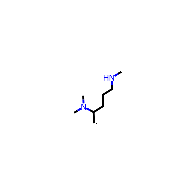 [CH2]C(CCCNC)N(C)C